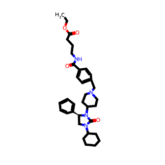 CCOC(=O)CCCNC(=O)c1ccc(CN2CCC(N3C(=O)N(C4CCCCC4)C[C@H]3c3ccccc3)CC2)cc1